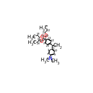 C=C(c1ccc(N(C)C)cc1)c1ccc([Si](OCCC)(OCCC)OCCC)cc1